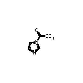 O=C(n1ccnc1)C(Cl)(Cl)Cl